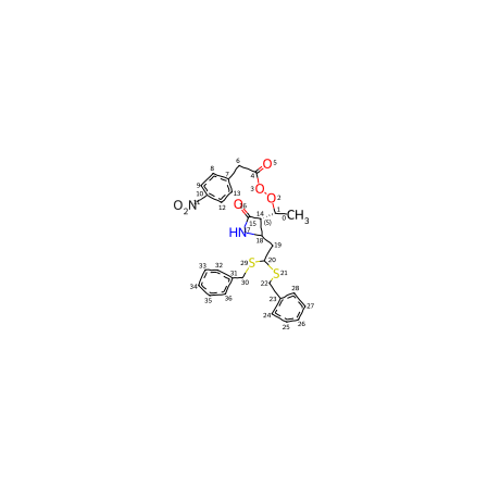 CC(OOC(=O)Cc1ccc([N+](=O)[O-])cc1)[C@H]1C(=O)NC1CC(SCc1ccccc1)SCc1ccccc1